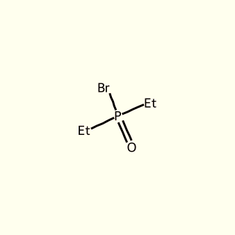 CCP(=O)(Br)CC